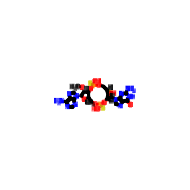 CO[C@H]1[C@@H](n2cnc3c(N)ncnc32)O[C@]2(C)COP(O)(=S)O[C@H]3C(n4cnc5c(=O)[nH]c(N)nc54)S[C@H](COP(O)(=S)O[C@@H]12)[C@H]3O